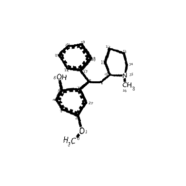 COc1ccc(O)c(C(CC2CCCCN2C)c2ccccc2)c1